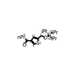 CCCC(=O)c1csc(CO[Si](C(C)C)(C(C)C)C(C)C)c1